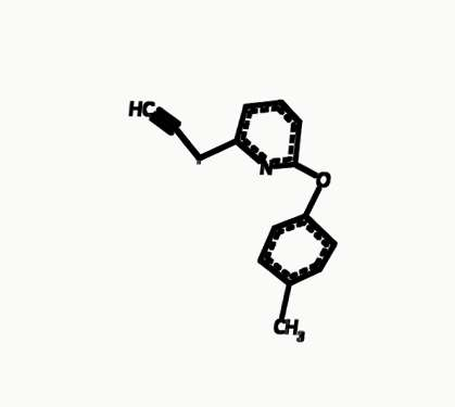 C#C[CH]c1cccc(Oc2ccc(C)cc2)n1